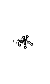 C[C@@H](Cc1ccccc1)NC(=O)[C@@H](C)OC(=O)N[C@H]1C(OCc2ccccc2)O[C@H](COCc2ccccc2)[C@@H](OCc2ccccc2)[C@@H]1OCc1ccccc1